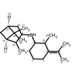 CC(C)=C1CCCC(BC2C[C@@H]3C[C@H](C2C)C3(C)C)C1C